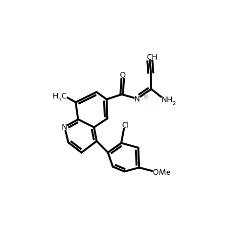 C#C/C(N)=N\C(=O)c1cc(C)c2nccc(-c3ccc(OC)cc3Cl)c2c1